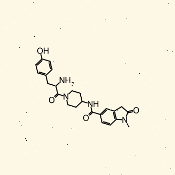 CN1C(=O)Cc2cc(C(=O)NC3CCN(C(=O)C(N)Cc4ccc(O)cc4)CC3)ccc21